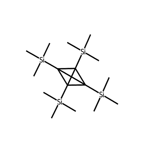 C[Si](C)(C)C12C3([Si](C)(C)C)C1([Si](C)(C)C)C23[Si](C)(C)C